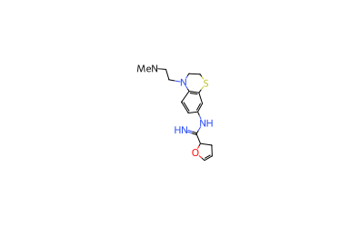 CNCCN1CCSc2cc(NC(=N)C3CC=CO3)ccc21